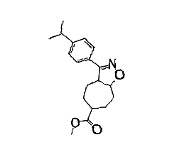 COC(=O)C1CCC2ON=C(c3ccc(C(C)C)cc3)C2CC1